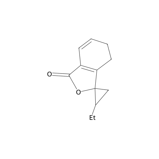 CCC1CC12OC(=O)C1=C2CCC=C1